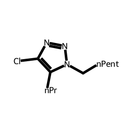 CCCCCCn1nnc(Cl)c1CCC